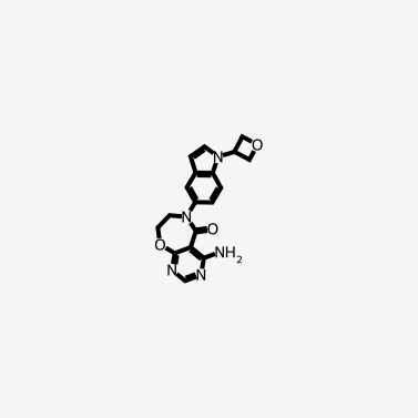 Nc1ncnc2c1C(=O)N(c1ccc3c(ccn3C3COC3)c1)CCO2